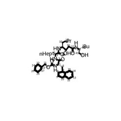 CCCCCCC[C@H](NC(=O)[C@H](Cc1cccc2ccccc12)NC(=O)OCc1ccccc1)C(=O)N[C@@H](CC(C)C)[C@@H](O)CC(=O)N[C@H](CO)[C@@H](C)CC